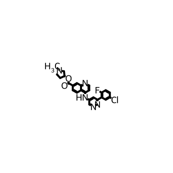 CN1CCC(OC(=O)c2ccc3c(Nc4cnnc(-c5cc(Cl)ccc5F)c4)ccnc3c2)C1